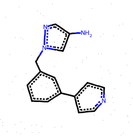 Nc1cnn(Cc2cccc(-c3ccncc3)c2)c1